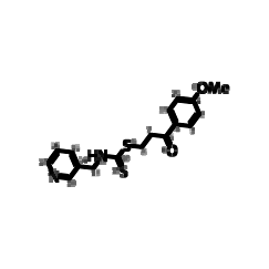 COc1ccc(C(=O)CCSC(=S)NCc2cccnc2)cc1